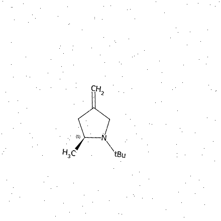 C=C1C[C@H](C)N(C(C)(C)C)C1